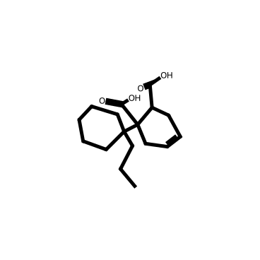 CCCC1(C2(C(=O)O)CC=CCC2C(=O)O)CCCCC1